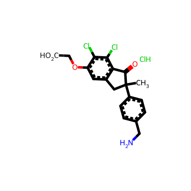 CC1(c2ccc(CN)cc2)Cc2cc(OCC(=O)O)c(Cl)c(Cl)c2C1=O.Cl